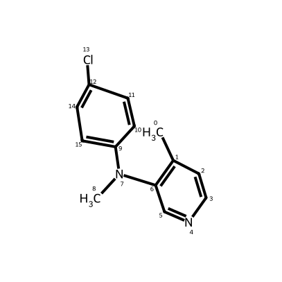 Cc1ccncc1N(C)c1ccc(Cl)cc1